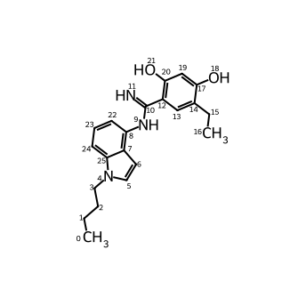 CCCCn1ccc2c(NC(=N)c3cc(CC)c(O)cc3O)cccc21